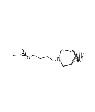 C[SiH](C)OCCCCN1CCNCC1